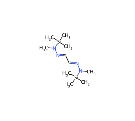 CN(N=CC=NN(C)[Si](C)(C)C)[Si](C)(C)C